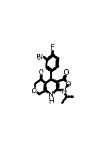 CC(C)n1oc(=O)c2c1NC1=C(C(=O)COC1)C2c1ccc(F)c(Br)c1